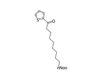 CCCCCCCCCCCCCCCCCC(=O)c1cccs1